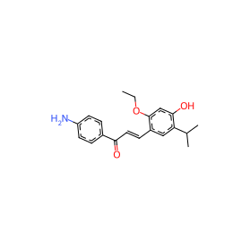 CCOc1cc(O)c(C(C)C)cc1C=CC(=O)c1ccc(N)cc1